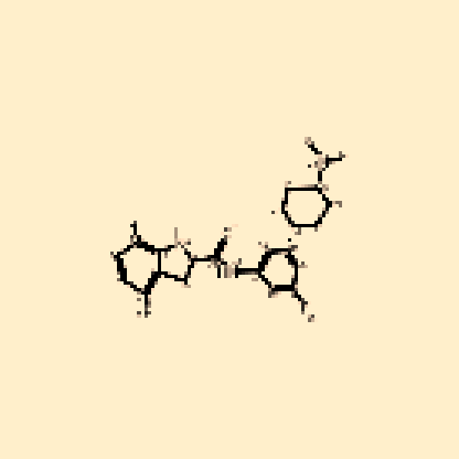 Cc1ccc(F)c2c1NC(C(=O)Nc1cc(F)cc([C@H]3CC[C@H](N(C)C)CC3)c1)C2